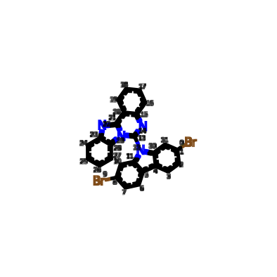 Brc1ccc2c3ccc(Br)cc3n(-c3nc4ccccc4c4nc5ccccc5n34)c2c1